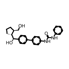 O=C(Nc1ccccc1)Nc1ccc(-c2ccc([C@@H](O)[C@@H]3CCC[C@H]3CO)cc2)cc1